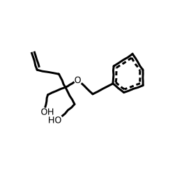 C=CCC(CO)(CO)OCc1ccccc1